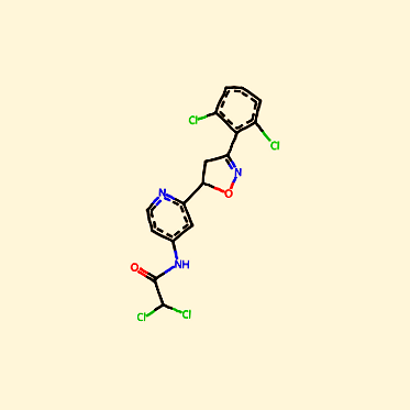 O=C(Nc1ccnc(C2CC(c3c(Cl)cccc3Cl)=NO2)c1)C(Cl)Cl